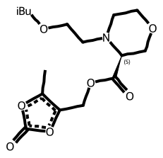 CCC(C)OCCN1CCOC[C@H]1C(=O)OCc1oc(=O)oc1C